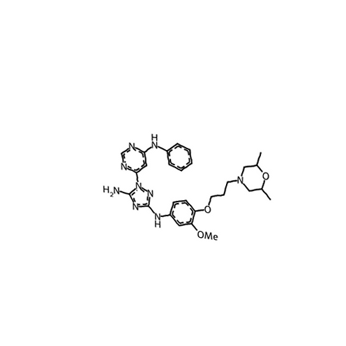 COc1cc(Nc2nc(N)n(-c3cc(Nc4ccccc4)ncn3)n2)ccc1OCCCN1CC(C)OC(C)C1